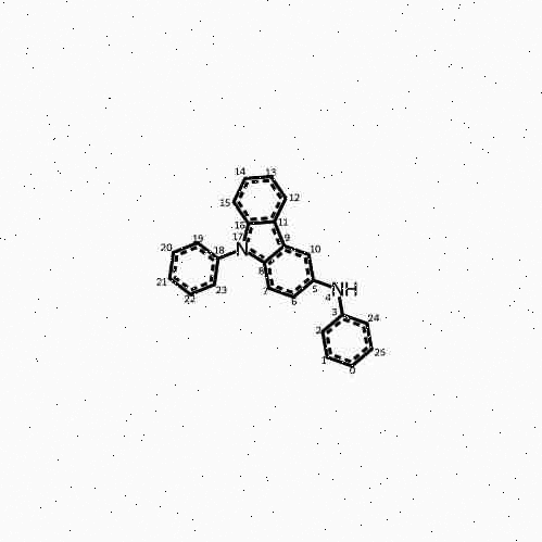 c1ccc(Nc2ccc3c(c2)c2ccccc2n3-c2ccccc2)cc1